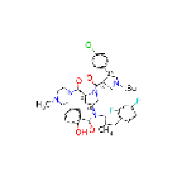 CC(Cc1ccc(F)cc1F)CN(C(=O)c1ccccc1O)[C@H]1C[C@@H](C(=O)N2CCN(C)CC2)N(C(=O)[C@@H]2CN(C(C)(C)C)C[C@H]2c2ccc(Cl)cc2)C1